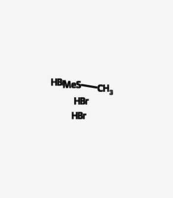 Br.Br.Br.CSC